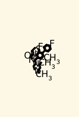 Cc1cc2c(N3CCN(C)CC3C)nc(=O)n3c2c(c1-c1ccc(F)cc1F)SCC3